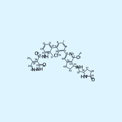 COc1nc(-c2cccc(-c3cccc(NC(=O)c4c(C)cn[nH]c4=O)c3C)c2Cl)cc2c1C(NCC1CCC(=O)N1)CC2